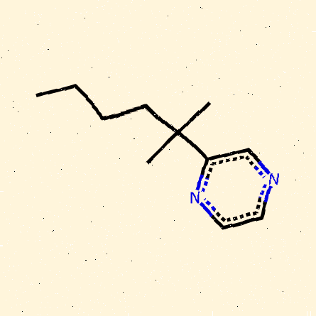 CCCCC(C)(C)c1cnccn1